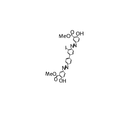 COC(=O)c1cc(N=Nc2ccc(-c3ccc(N=Nc4ccc(O)c(C(=O)OC)c4)c(I)c3)cc2)ccc1O